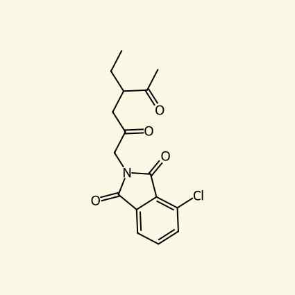 CCC(CC(=O)CN1C(=O)c2cccc(Cl)c2C1=O)C(C)=O